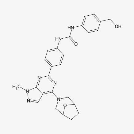 Cn1ncc2c(N3CC4CCC(C3)O4)nc(-c3ccc(NC(=O)Nc4ccc(CO)cc4)cc3)nc21